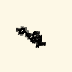 O=C(NO)c1ncc(COCCc2ccc(F)cc2)c(CO)c1O